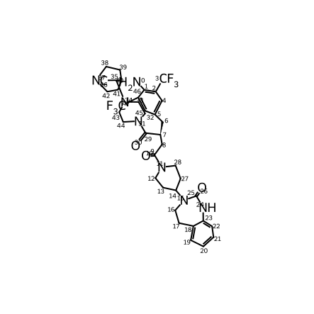 Nc1c(C(F)(F)F)cc(C[C@@H](CC(=O)N2CCC(N3CCc4ccccc4NC3=O)CC2)C(=O)N2CCN(C3CN4CCC3CC4)CC2)cc1C(F)(F)F